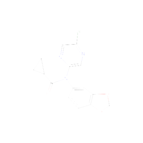 O=C(C1CC1)N(c1ccc2c(c1)OCO2)c1cnc(Br)cn1